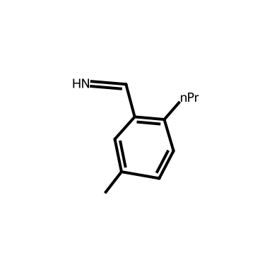 CCCc1ccc(C)cc1C=N